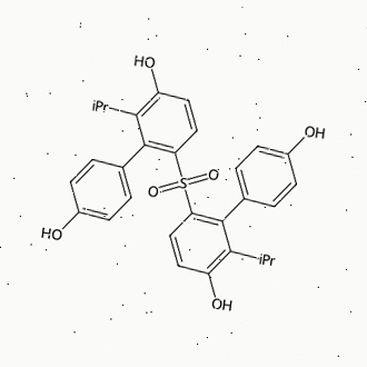 CC(C)c1c(O)ccc(S(=O)(=O)c2ccc(O)c(C(C)C)c2-c2ccc(O)cc2)c1-c1ccc(O)cc1